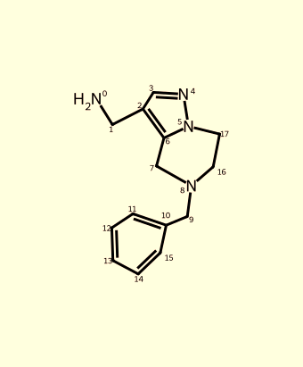 NCc1cnn2c1CN(Cc1ccccc1)CC2